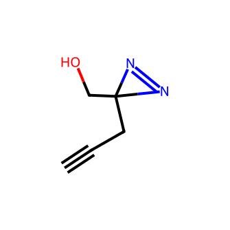 C#CCC1(CO)N=N1